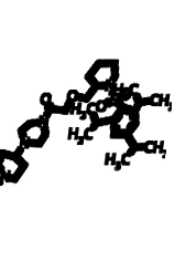 CC(C)c1cc(C(C)C)c(S(=O)(=O)N2CCCCC2COCC(=O)N2CCN(C3CCN(C)CC3)CC2)c(C(C)C)c1